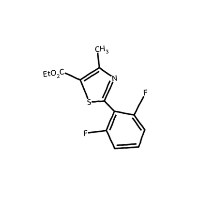 CCOC(=O)c1sc(-c2c(F)cccc2F)nc1C